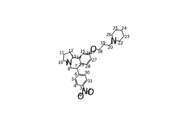 O=[N+]([O-])c1ccc(C2CN3CCCC3C3C=C(OCCCN4CCCCC4)C=CC23)cc1